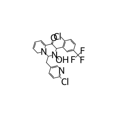 O=C1C2=CC=CCN2C(Cc2ccc(Cl)nc2)N(O)C1c1cc(C(F)(F)F)ccc1Cl